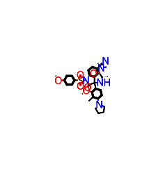 COc1ccc(S(=O)(=O)N2C(=O)C(N[C@@H](C)C(=O)N(C)C)(c3ccc(N4CCCC4)c(C)c3OC)c3cc(C#N)ccc32)cc1